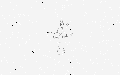 C=CC[C@H]1CN([SH](=O)=O)C[C@@]1(N=[N+]=[N-])C(=O)OCc1ccccc1